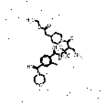 CCOC(=O)CC1CCN(C(=O)C(CC)C(C)(C)NC(=O)c2ccc(C(=N)N3CCOCC3)cc2F)CC1